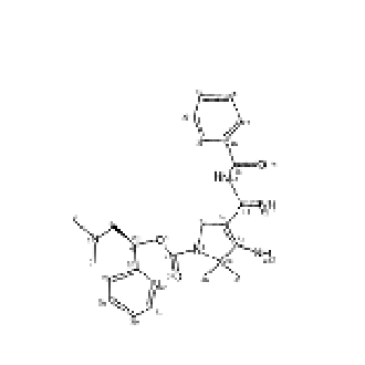 CN(C)C[C@@H](OC(=O)N1CC(C(=N)NC(=O)c2ccccc2)=C(N)C1(C)C)c1ccccn1